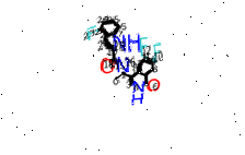 C[C@H](c1c[nH]c(=O)c2cc(F)c(F)cc12)N(C)C(=O)c1cc2c(F)cccc2[nH]1